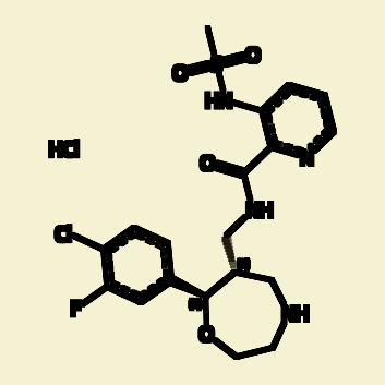 CS(=O)(=O)Nc1cccnc1C(=O)NC[C@@H]1CNCCO[C@H]1c1ccc(Cl)c(F)c1.Cl